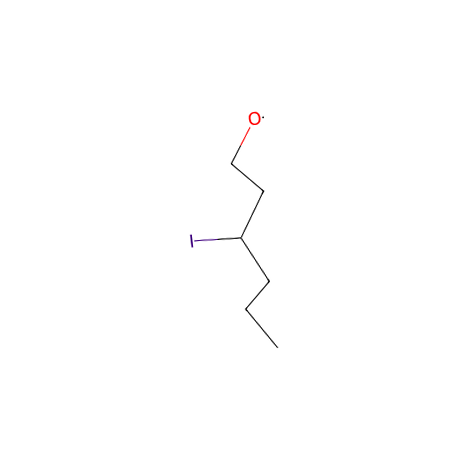 CCCC(I)CC[O]